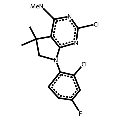 CNc1nc(Cl)nc2c1C(C)(C)CN2c1ccc(F)cc1Cl